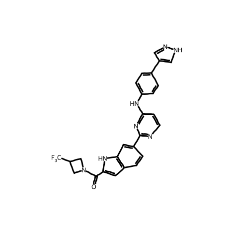 O=C(c1cc2ccc(-c3nccc(Nc4ccc(-c5cn[nH]c5)cc4)n3)cc2[nH]1)N1CC(C(F)(F)F)C1